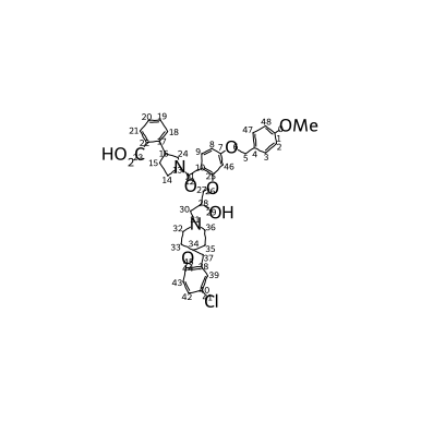 COc1ccc(COc2ccc(C(=O)N3CCC(c4ccccc4C(=O)O)C3)c(OC[C@@H](O)CN3CCC4(CC3)Cc3cc(Cl)ccc3O4)c2)cc1